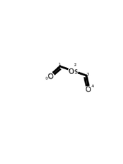 O=[CH][Os][CH]=O